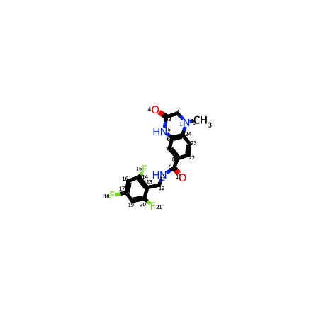 CN1CC(=O)Nc2cc(C(=O)NCc3c(F)cc(F)cc3F)ccc21